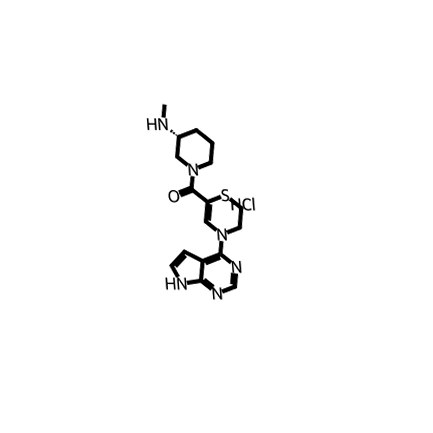 CN[C@@H]1CCCN(C(=O)C2=CN(c3ncnc4[nH]ccc34)CCS2)C1.Cl